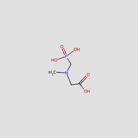 [CH2]N(CC(=O)O)CP(=O)(O)O